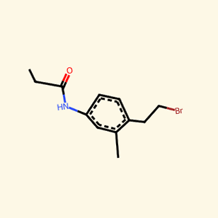 CCC(=O)Nc1ccc(CCBr)c(C)c1